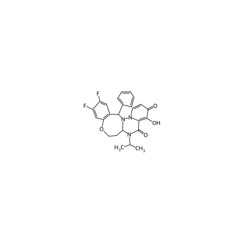 CC(C)N1C(=O)c2c(O)c(=O)ccn2N2C(c3ccccc3)c3cc(F)c(F)cc3OCCC12